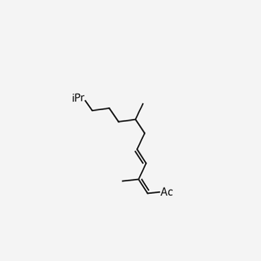 CC(=O)C=C(C)C=CCC(C)CCCC(C)C